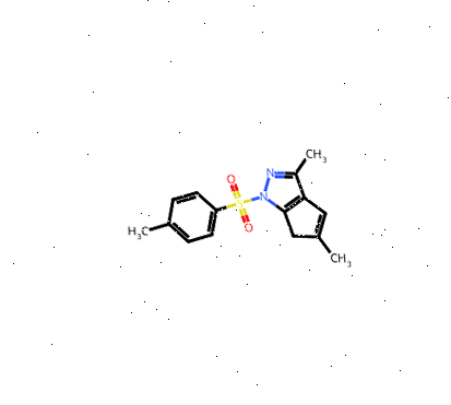 CC1=Cc2c(C)nn(S(=O)(=O)c3ccc(C)cc3)c2C1